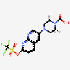 C[C@@H]1CN(c2cnc3nc(OS(=O)(=O)C(F)(F)F)ccc3c2)C[C@H](C)N1C(=O)O